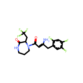 NC(=CC(=O)N1CCCNC(=O)C1CC(F)(F)F)Cc1cc(F)c(F)cc1F